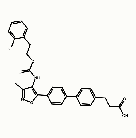 Cc1noc(-c2ccc(-c3ccc(CCC(=O)O)cc3)cc2)c1NC(=O)OCCc1ccccc1Cl